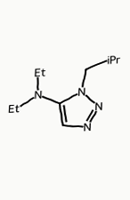 CCN(CC)c1cnnn1CC(C)C